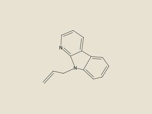 C=CCn1c2ccccc2c2cccnc21